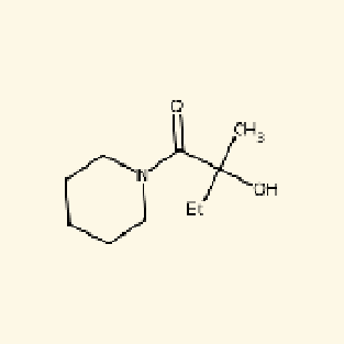 CCC(C)(O)C(=O)N1CCCCC1